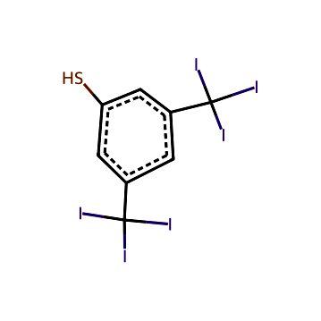 Sc1cc(C(I)(I)I)cc(C(I)(I)I)c1